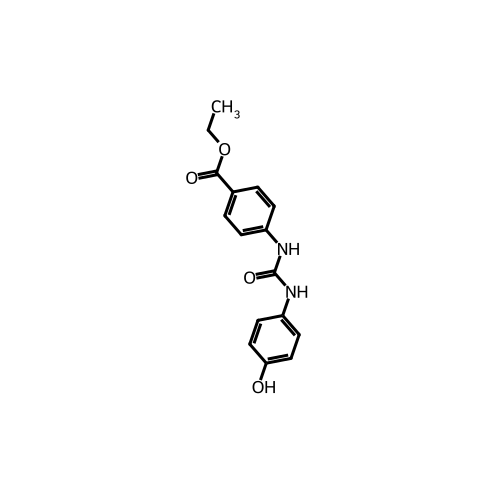 CCOC(=O)c1ccc(NC(=O)Nc2ccc(O)cc2)cc1